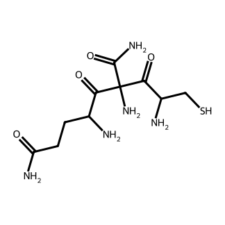 NC(=O)CCC(N)C(=O)C(N)(C(N)=O)C(=O)C(N)CS